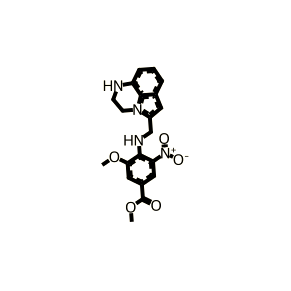 COC(=O)c1cc(OC)c(NCc2cc3cccc4c3n2CCN4)c([N+](=O)[O-])c1